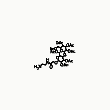 CC(=O)OCC1OC(OC2C(COC(C)=O)OC(OCC(=O)NCCN)C(OC(C)=O)C2OC(C)=O)C(OC(C)=O)C(OC(C)=O)C1OC(C)=O